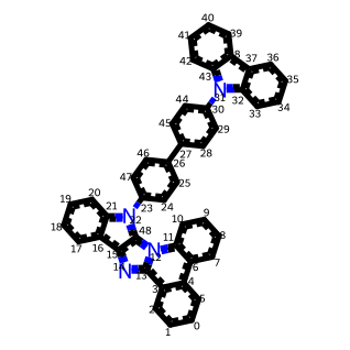 c1ccc2c(c1)c1ccccc1n1c2nc2c3ccccc3n(-c3ccc(-c4ccc(-n5c6ccccc6c6ccccc65)cc4)cc3)c21